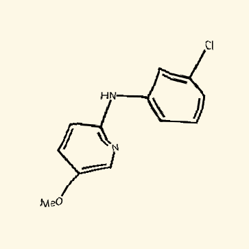 COc1ccc(Nc2cccc(Cl)c2)nc1